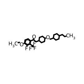 CCCC1CCC(COC2CCC(CC(=O)c3ccc(OCC)c(F)c3C(F)(F)F)CC2)CC1